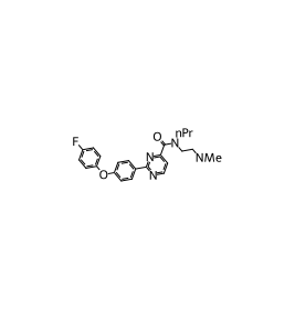 CCCN(CCNC)C(=O)c1ccnc(-c2ccc(Oc3ccc(F)cc3)cc2)n1